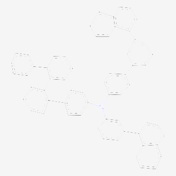 c1ccc(-c2ccccc2-c2ccccc2-c2ccc(N(c3ccc(-c4cccc(-c5cccc6ccccc56)c4)cc3)c3cccc(-c4cccc5ccccc45)c3)cc2)cc1